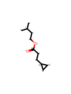 CC(C)CCOC(=O)CCC1CC1